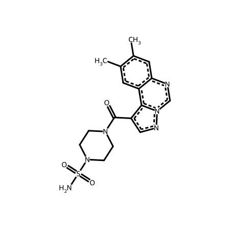 Cc1cc2ncn3ncc(C(=O)N4CCN(S(N)(=O)=O)CC4)c3c2cc1C